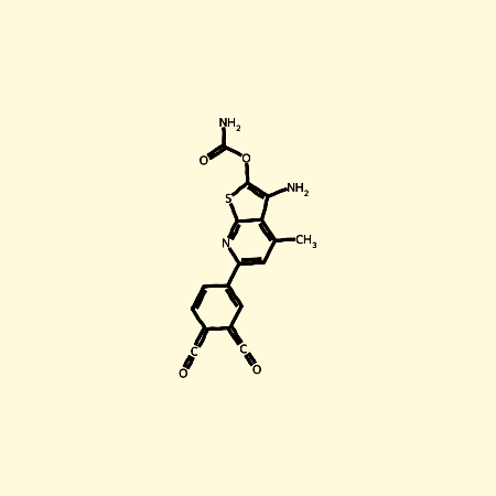 Cc1cc(-c2ccc(=C=O)c(=C=O)c2)nc2sc(OC(N)=O)c(N)c12